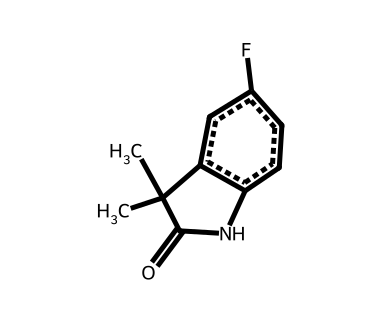 CC1(C)C(=O)Nc2ccc(F)cc21